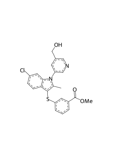 COC(=O)c1cccc(Sc2c(C)n(-c3cncc(CO)c3)c3cc(Cl)ccc23)c1